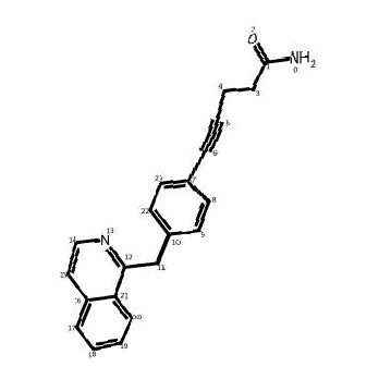 NC(=O)CCC#Cc1ccc(Cc2nccc3ccccc23)cc1